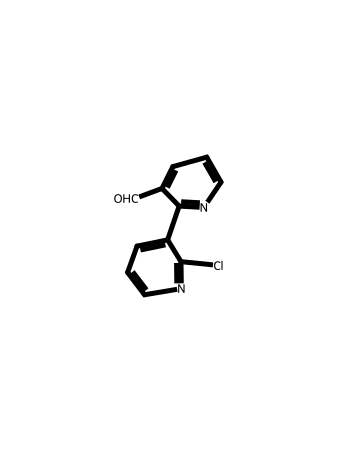 O=Cc1cccnc1-c1cccnc1Cl